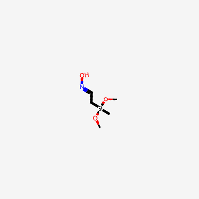 CO[Si](C)(CC=NO)OC